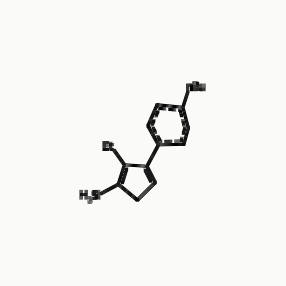 CCCCc1ccc(C2=CCC([SiH3])=C2CC)cc1